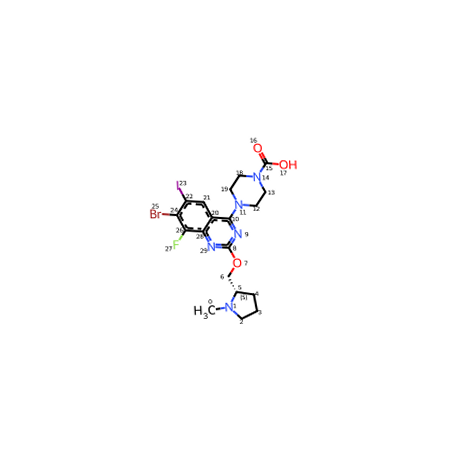 CN1CCC[C@H]1COc1nc(N2CCN(C(=O)O)CC2)c2cc(I)c(Br)c(F)c2n1